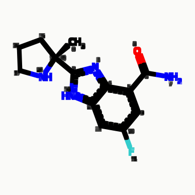 C[C@]1(c2nc3c(C(N)=O)cc(F)cc3[nH]2)CCCN1